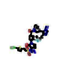 Cc1nc[nH]c1CCN(C)C(=O)c1ccc(N2CCC(NS(=O)(=O)C=Cc3ccc(Cl)s3)C2=O)c(F)c1